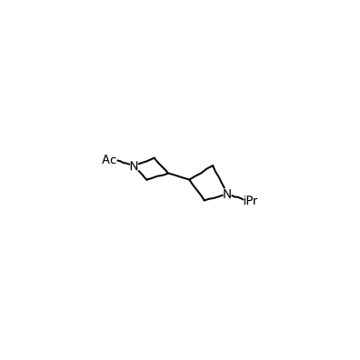 CC(=O)N1CC(C2CN(C(C)C)C2)C1